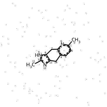 Cc1ccc2c(n1)Cc1[nH]c(C)nc1C2